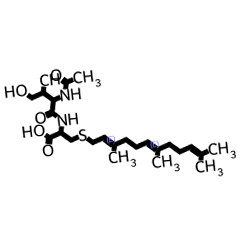 CC(=O)NC(C(=O)NC(CSC/C=C(\C)CC/C=C(\C)CCC=C(C)C)C(=O)O)C(C)CO